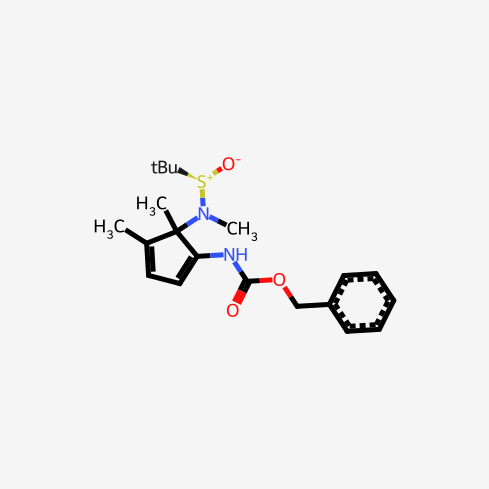 CC1=CC=C(NC(=O)OCc2ccccc2)C1(C)N(C)[S@+]([O-])C(C)(C)C